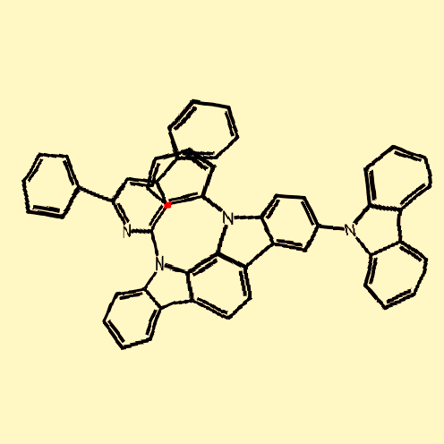 c1ccc(-c2cc(-c3ccccc3)nc(-n3c4ccccc4c4ccc5c6cc(-n7c8ccccc8c8ccccc87)ccc6n(-c6ccccc6)c5c43)c2)cc1